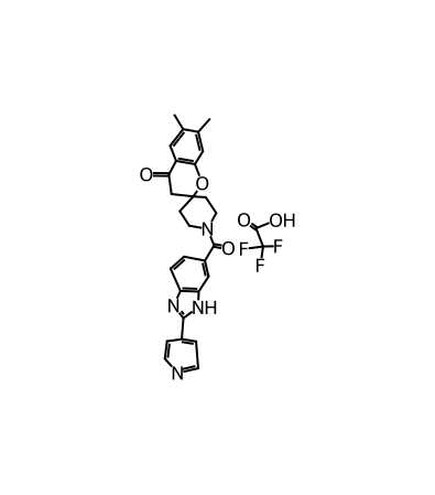 Cc1cc2c(cc1C)C(=O)CC1(CCN(C(=O)c3ccc4nc(-c5ccncc5)[nH]c4c3)CC1)O2.O=C(O)C(F)(F)F